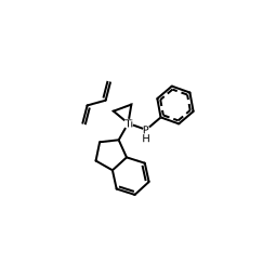 C1=CC2CC[CH]([Ti]3([PH]c4ccccc4)[CH2][CH2]3)C2C=C1.C=CC=C